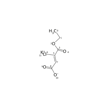 CCOC(=O)C(Cl)=CC(=O)[O-].[K+]